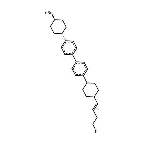 CCCC[C@H]1CC[C@H](c2ccc(-c3ccc(C4CCC(/C=C/CCF)CC4)cc3)cc2)CC1